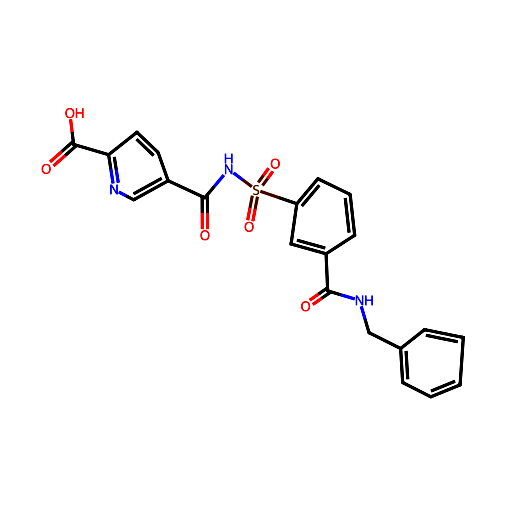 O=C(NCc1ccccc1)c1cccc(S(=O)(=O)NC(=O)c2ccc(C(=O)O)nc2)c1